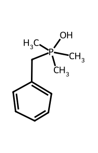 CP(C)(C)(O)Cc1ccccc1